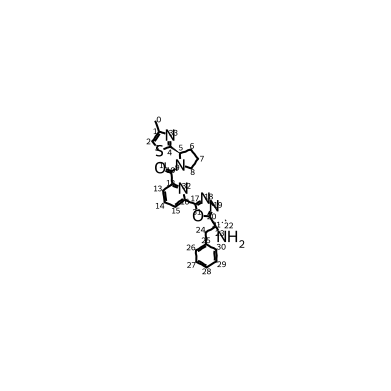 Cc1csc([C@H]2CCCN2C(=O)c2cccc(-c3nnc([C@@](C)(N)Cc4ccccc4)o3)n2)n1